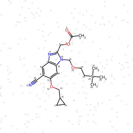 CC(=O)OCc1nc2cc(C#N)c(OCC3CC3)cc2n1COCC[Si](C)(C)C